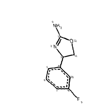 NC1=NC(c2cccc(F)c2)CO1